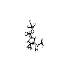 CC(C)N[C@H]1CN(C(=O)OC(C)(C)C)CC12CC2